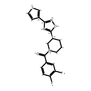 O=C(c1ccc(F)c(F)c1)N1CCC[C@H](c2nc(-c3ccsc3)no2)C1